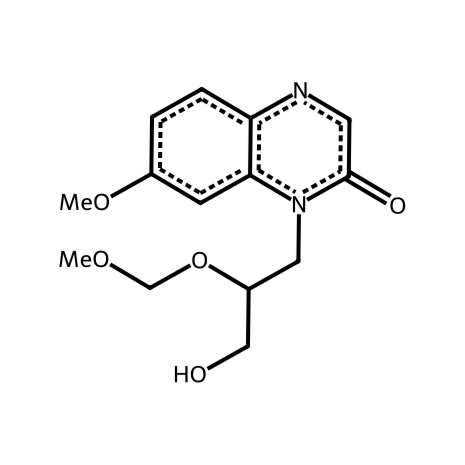 COCOC(CO)Cn1c(=O)cnc2ccc(OC)cc21